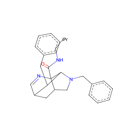 CC(C)CNC(=O)C12N=CC3CC1CN(Cc1ccccc1)C2C3Cc1ccccc1